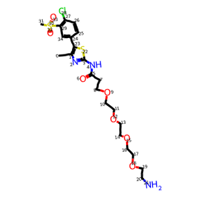 Cc1nc(NC(=O)CCOCCOCCOCCOCCN)sc1-c1ccc(Cl)c(S(C)(=O)=O)c1